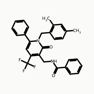 Cc1ccc(Cn2c(-c3ccccc3)cc(C(F)(F)F)c(CNC(=O)c3ccccc3)c2=O)c(C)c1